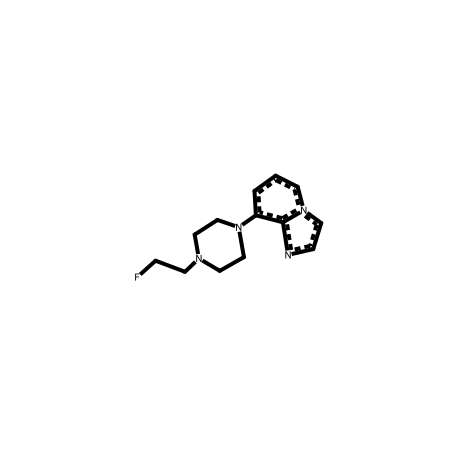 FCCN1CCN(c2cccn3ccnc23)CC1